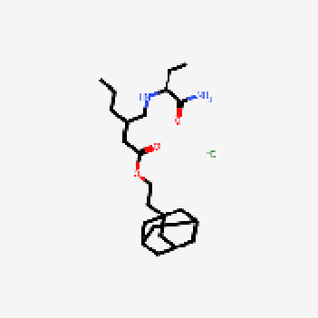 CCCC(CN[C@@H](CC)C(N)=O)CC(=O)OCCC12CC3CC(CC(C3)C1)C2.Cl